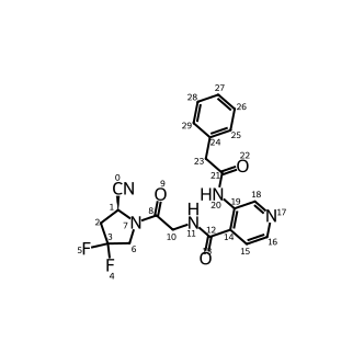 N#C[C@@H]1CC(F)(F)CN1C(=O)CNC(=O)c1ccncc1NC(=O)Cc1ccccc1